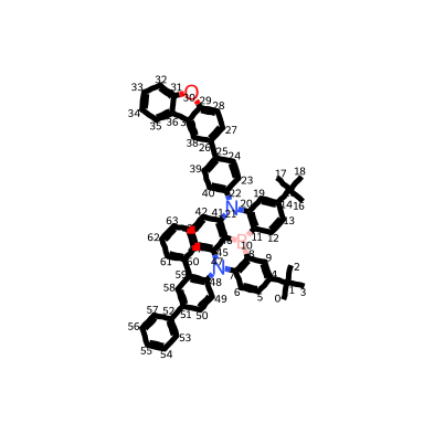 CC(C)(C)c1ccc2c(c1)B1c3ccc(C(C)(C)C)cc3N(c3ccc(-c4ccc5oc6ccccc6c5c4)cc3)c3cccc(c31)N2c1ccc(-c2ccccc2)cc1-c1ccccc1